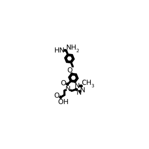 Cc1nnc2n1-c1ccc(OCc3ccc(C(=N)N)cc3)cc1C(=O)N(CCC(=O)O)C2